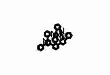 c1ccc(-c2cc(-c3cccc(-c4ccc5c6ccccc6n(-c6nc7ccccc7c7nc8ccccc8n67)c5c4)c3)cc(-c3ccccc3)n2)cc1